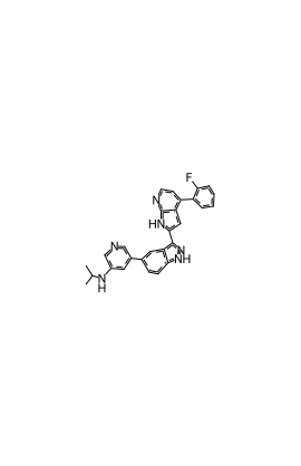 CC(C)Nc1cncc(-c2ccc3[nH]nc(-c4cc5c(-c6ccccc6F)ccnc5[nH]4)c3c2)c1